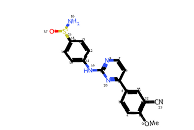 COc1ccc(-c2ccnc(Nc3ccc([S+](N)[O-])cc3)n2)cc1C#N